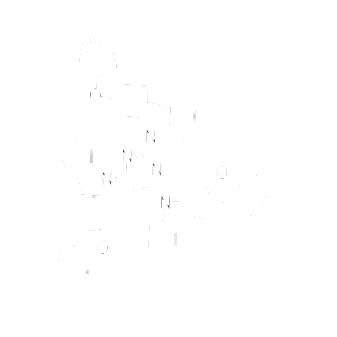 c1ccc2c(c1)oc1cc3c(cc12)c1ccccc1n3-c1cc(-n2c3ccccc3c3cc4c(cc32)oc2ccccc24)nc(-n2c3ccccc3c3cc4c(cc32)oc2ccccc24)n1